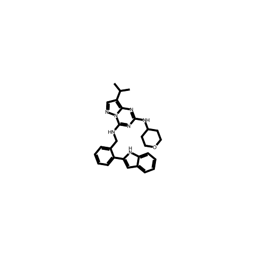 CC(C)c1cnn2c(NCc3ccccc3-c3cc4ccccc4[nH]3)nc(NC3CCOCC3)nc12